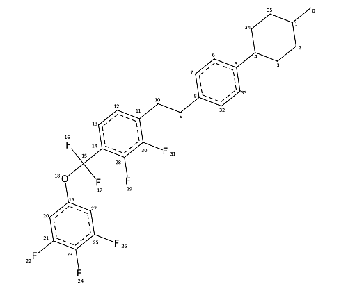 CC1CCC(c2ccc(CCc3ccc(C(F)(F)Oc4cc(F)c(F)c(F)c4)c(F)c3F)cc2)CC1